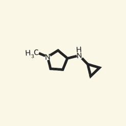 CN1CCC(NC2CC2)C1